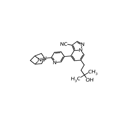 CC(C)(O)CCc1cc(-c2ccc(N3CC4CC(C3)N4)nc2)c2c(C#N)cnn2c1